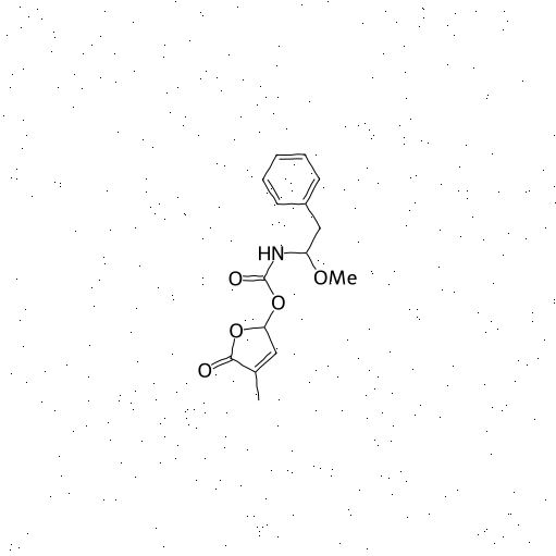 COC(Cc1ccccc1)NC(=O)OC1C=C(C)C(=O)O1